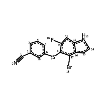 N#Cc1cccc(Sc2c(F)cc3[nH]ccc3c2Br)c1